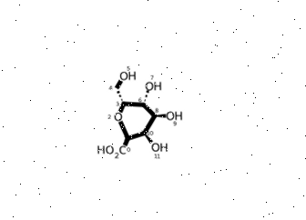 O=C(O)C1O[C@H](CO)[C@H](O)[C@@H](O)[C@H]1O